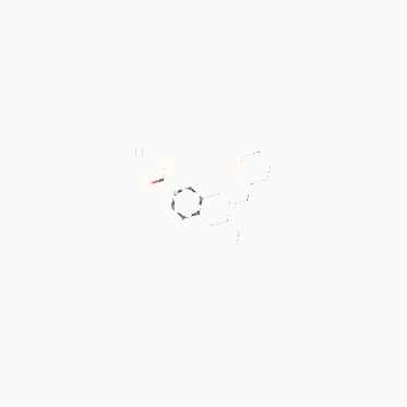 CC[C@H]1Cc2c(F)cc(C(=O)OC)cc2CN1C[C@@H]1CCCCO1